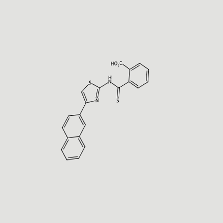 O=C(O)c1ccccc1C(=S)Nc1nc(-c2ccc3ccccc3c2)cs1